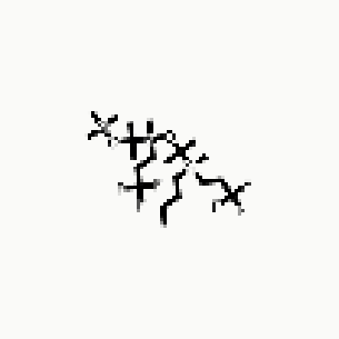 CCCC[Si](C)(CCC(F)(F)F)C(C)(C)O[Si](C)(CCC(F)(F)F)C(C)(C)O[Si](C)(C)C